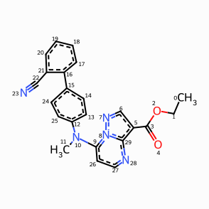 CCOC(=O)c1cnn2c(N(C)c3ccc(-c4ccccc4C#N)cc3)ccnc12